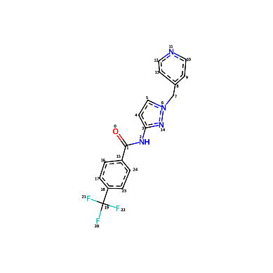 O=C(Nc1ccn(Cc2ccncc2)n1)c1ccc(C(F)(F)F)cc1